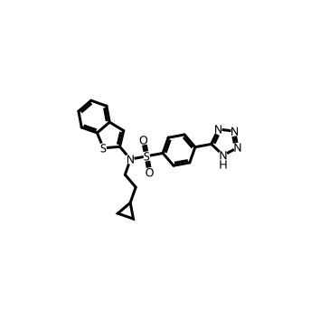 O=S(=O)(c1ccc(-c2nnn[nH]2)cc1)N(CCC1CC1)c1cc2ccccc2s1